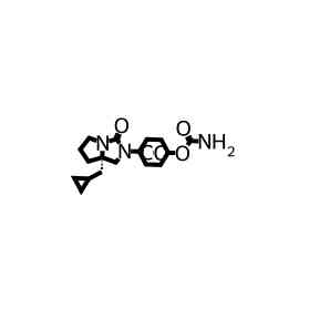 NC(=O)OC12CCC(N3C[C@@]4(CC5CC5)CCCN4C3=O)(CC1)CC2